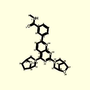 CNC(=O)c1cccc(-c2ccc3c(N4CC5CCC(C4)O5)nc(N4CC5COC(C5)C4)nc3n2)c1